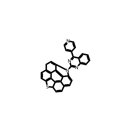 C1=CC2Sc3ccc4c5c3c2c2c1ccc1c2c5c(n1-c1nc(-c2ccncc2)c2ccccc2n1)=CC4